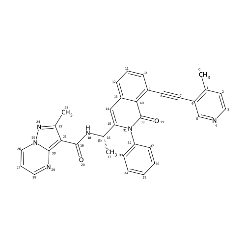 Cc1ccncc1C#Cc1cccc2cc([C@H](C)NC(=O)c3c(C)nn4cccnc34)n(-c3ccccc3)c(=O)c12